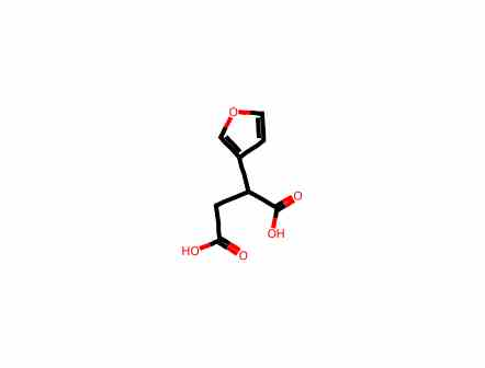 O=C(O)CC(C(=O)O)c1ccoc1